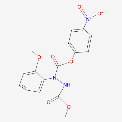 COC(=O)NN(C(=O)Oc1ccc([N+](=O)[O-])cc1)c1ccccc1OC